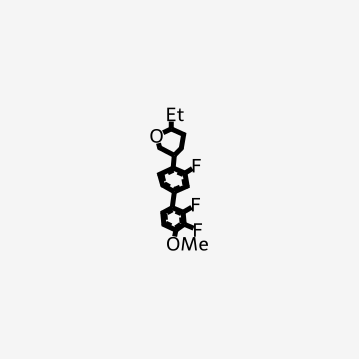 CCC1CCC(c2ccc(-c3ccc(OC)c(F)c3F)cc2F)CO1